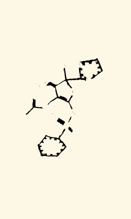 CC(=O)OC1=C(NS(=O)(=O)c2ccccc2)OC(C)(c2nccs2)C1=O